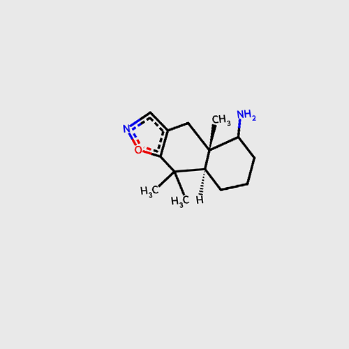 CC1(C)c2oncc2C[C@]2(C)C(N)CCC[C@@H]12